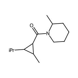 CC(C)C1C(C)C1C(=O)N1CCCCC1C